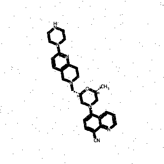 C[C@@H]1CN(c2ccc(C#N)c3ncccc23)C[C@H](CN2CCc3nc(N4CCNCC4)ccc3C2)O1